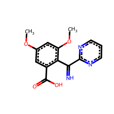 COc1cc(OC)c(C(=N)c2ncccn2)c(C(=O)O)c1